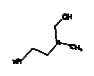 CCCCCN(C)CO